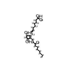 CCCCCCCC(=O)CC[C@@H]1[C@@H](CC=CCCCCCC(=O)O)[C@@H](O)C[C@H]1O